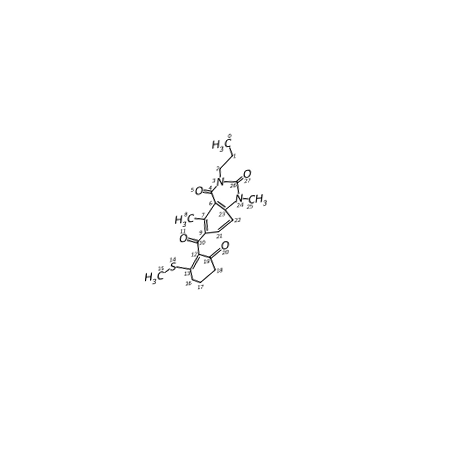 CCCn1c(=O)c2c(C)c(C(=O)C3=C(SC)CCCC3=O)ccc2n(C)c1=O